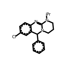 CC(C)N1CCCN2C1=Nc1ccc(Cl)cc1C2c1ccccc1